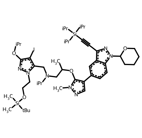 CC(C)Oc1nn(CCO[Si](C)(C)C(C)(C)C)c(CN(CC(C)Oc2c(-c3ccc4c(c3)c(C#C[Si](C(C)C)(C(C)C)C(C)C)nn4C3CCCCO3)cnn2C)C(C)C)c1I